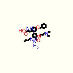 CCCCNc1cccc(OCCCN(CC)CC)c1C(N)=O.N[C@H](Cc1ccc(OCc2ccccc2)cc1)C(=O)O